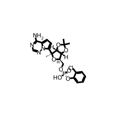 CC1(C)O[C@H]2[C@@H](O1)[C@](C)(c1ccc3c(N)ncnn13)O[C@@H]2COP(=O)(O)Oc1ccccc1Cl